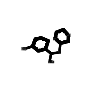 CCCCC(Oc1cnccn1)c1cccc(O)c1